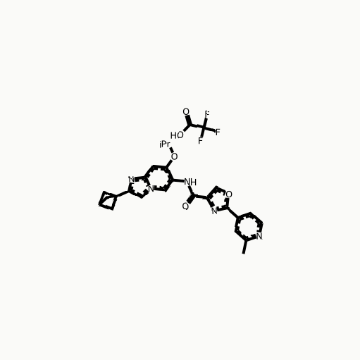 Cc1cc(-c2nc(C(=O)Nc3cn4cc(C56CC(C5)C6)nc4cc3OC(C)C)co2)ccn1.O=C(O)C(F)(F)F